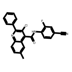 Cc1ccc2nc(-c3ccccc3)c(Cl)c(C(=O)Nc3ccc(C#N)cc3F)c2c1